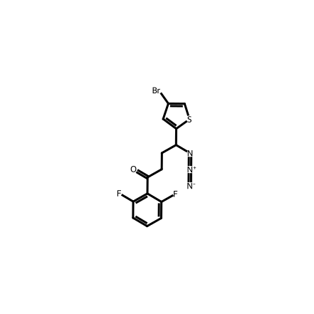 [N-]=[N+]=NC(CCC(=O)c1c(F)cccc1F)c1cc(Br)cs1